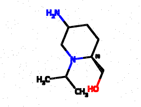 CC(C)N1CC(N)CC[C@H]1CO